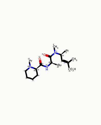 C/C(=C\[C@H](C(C)C)N(C)C(=O)[C@H](NC(=O)[C@H]1CCCCN1C(C)C)C(C)(C)C)C(=O)O